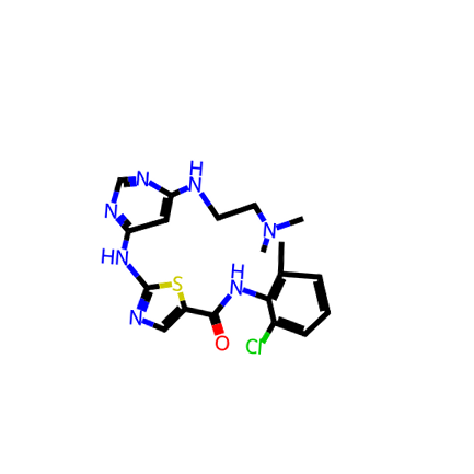 Cc1cccc(Cl)c1NC(=O)c1cnc(Nc2cc(NCCN(C)C)ncn2)s1